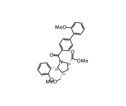 COC[C@H]1C[C@@H](C(=O)OC)N(C(=O)c2ccc(-c3ccccc3OC)cc2)[C@H]1c1ccccc1Cl